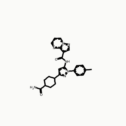 Cc1ccc(-n2nc(C3CCC(C(N)=O)CC3)cc2NC(=O)c2cnn3cccnc23)cc1